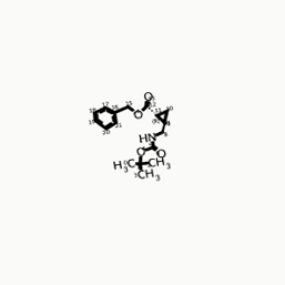 CC(C)(C)OC(=O)NC[C@@H]1C[C@H]1C(=O)OCc1ccccc1